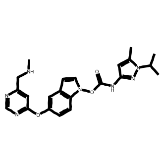 CNCc1cc(Oc2ccc3c(ccn3OC(=O)Nc3cc(C)n(C(C)C)n3)c2)ncn1